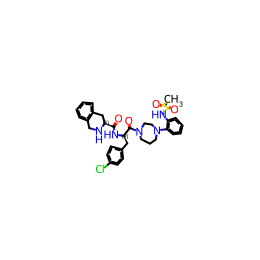 CS(=O)(=O)Nc1ccccc1N1CCCN(C(=O)[C@@H](Cc2ccc(Cl)cc2)NC(=O)[C@@H]2Cc3ccccc3CN2)CC1